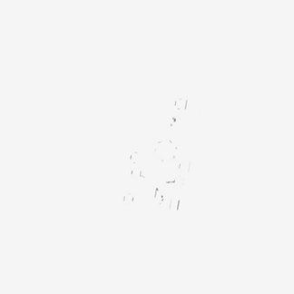 CC#Cc1cc(Cl)c(C2C(=O)N(C)C3(CCOC3)C2=O)c(Cl)c1